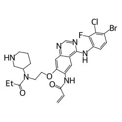 C=CC(=O)Nc1cc2c(Nc3ccc(Br)c(Cl)c3F)ncnc2cc1OCCN(C(=O)CC)C1CCCNC1